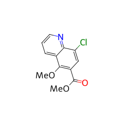 COC(=O)c1cc(Cl)c2ncccc2c1OC